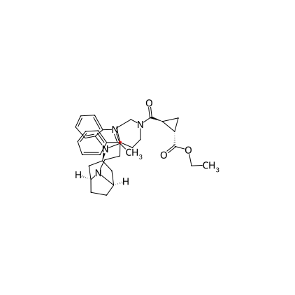 CCOC(=O)[C@H]1C[C@@H]1C(=O)N1CCC(CCN2[C@@H]3CC[C@H]2C[C@@H](n2c(C)nc4ccccc42)C3)(c2ccccc2)CC1